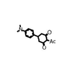 CC(=O)C1C(=O)CC(c2ccc(N(C)C)cc2)CC1=O